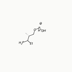 CCC(P)[C@H](C)CO[PH](=O)O